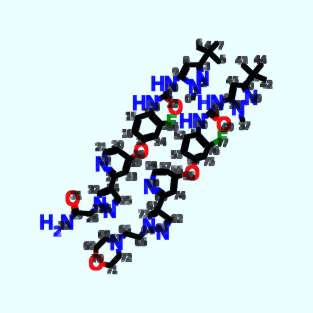 Cn1nc(C(C)(C)C)cc1NC(=O)Nc1ccc(Oc2ccnc(-c3cnn(CC(N)=O)c3)c2)cc1F.Cn1nc(C(C)(C)C)cc1NC(=O)Nc1ccc(Oc2ccnc(-c3cnn(CCN4CCOCC4)c3)c2)cc1F